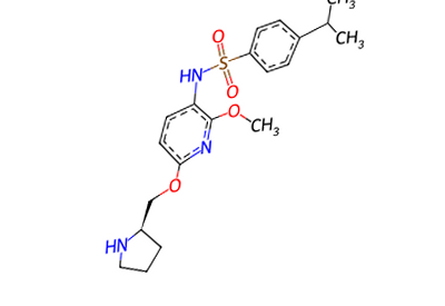 COc1nc(OC[C@H]2CCCN2)ccc1NS(=O)(=O)c1ccc(C(C)C)cc1